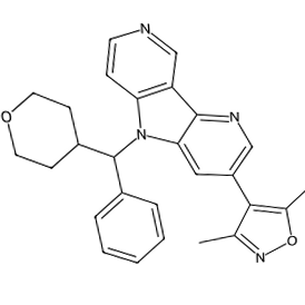 Cc1noc(C)c1-c1cnc2c3cnccc3n(C(c3ccccc3)C3CCOCC3)c2c1